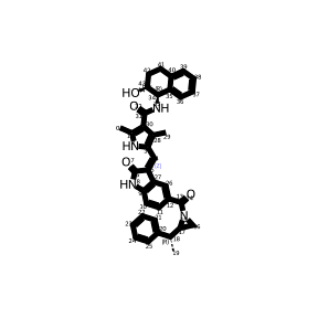 Cc1[nH]c(/C=C2\C(=O)Nc3ccc(C(=O)N4CC4[C@H](C)c4ccccc4)cc32)c(C)c1C(=O)N[C@@H]1c2ccccc2CC[C@@H]1O